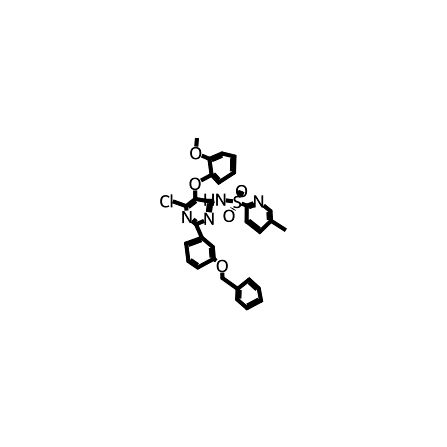 COc1ccccc1Oc1c(Cl)nc(-c2cccc(OCc3ccccc3)c2)nc1NS(=O)(=O)c1ccc(C)cn1